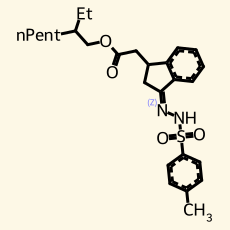 CCCCCC(CC)COC(=O)CC1C/C(=N/NS(=O)(=O)c2ccc(C)cc2)c2ccccc21